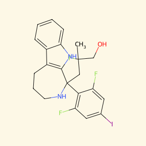 CC(F)(CO)CC1(c2c(F)cc(I)cc2F)NCCCc2c1[nH]c1ccccc21